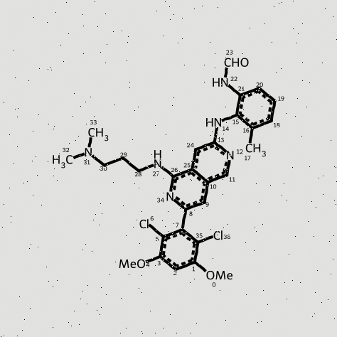 COc1cc(OC)c(Cl)c(-c2cc3cnc(Nc4c(C)cccc4NC=O)cc3c(NCCCN(C)C)n2)c1Cl